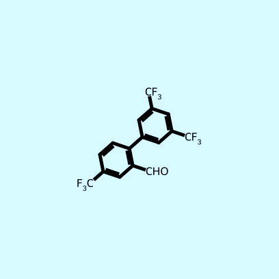 O=Cc1cc(C(F)(F)F)ccc1-c1cc(C(F)(F)F)cc(C(F)(F)F)c1